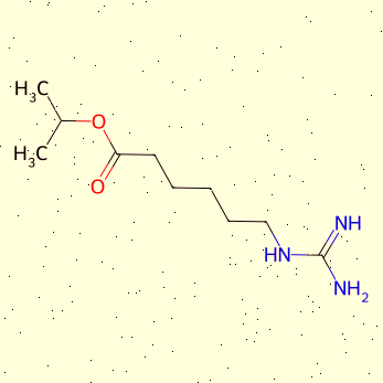 CC(C)OC(=O)CCCCCNC(=N)N